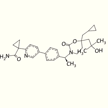 C[C@@H](c1ccc(-c2ccc(C3(C(N)=O)CC3)nc2)cc1)N1CCC(CC2CC2)(CC(C)(C)O)OC1=O